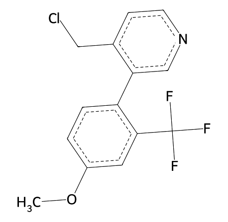 COc1ccc(-c2cnccc2CCl)c(C(F)(F)F)c1